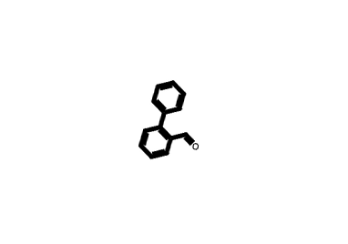 O=[C]c1[c]cccc1-c1[c]cccc1